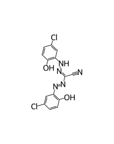 N#CC(N=Nc1cc(Cl)ccc1O)=NNc1cc(Cl)ccc1O